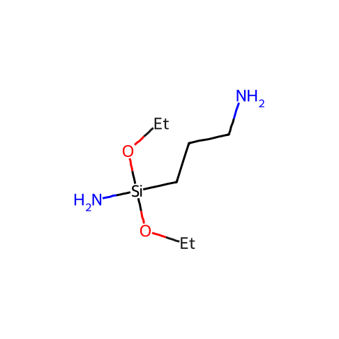 CCO[Si](N)(CCCN)OCC